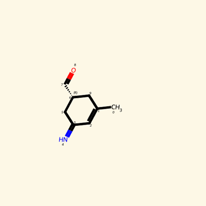 CC1=CC(=N)C[C@H](C=O)C1